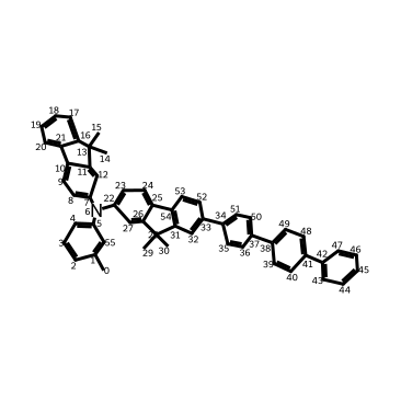 Cc1cccc(N(c2ccc3c(c2)C(C)(C)c2ccccc2-3)c2ccc3c(c2)C(C)(C)c2cc(-c4ccc(-c5ccc(-c6ccccc6)cc5)cc4)ccc2-3)c1